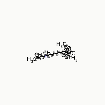 CCOP(=O)(OCC)C(CCCCCCC/C=C(\C)CCC=C(C)C)S(=O)(=O)O